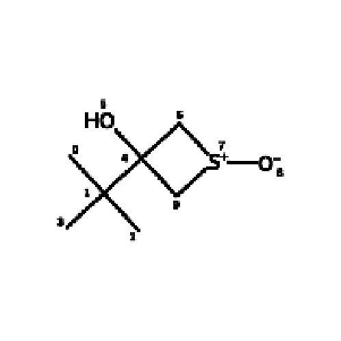 CC(C)(C)C1(O)C[S+]([O-])C1